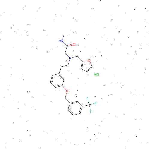 CNC(=O)CN(CCc1cccc(OCc2cccc(C(F)(F)F)c2)c1)Cc1ccco1.Cl